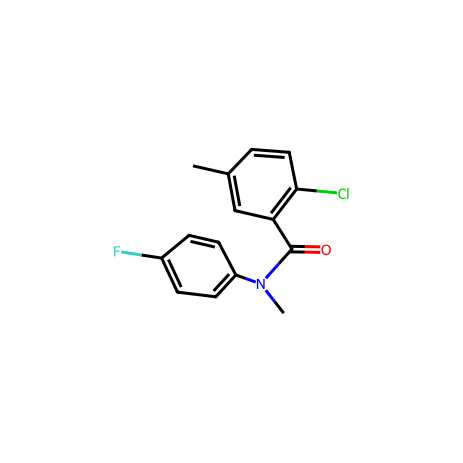 Cc1ccc(Cl)c(C(=O)N(C)c2ccc(F)cc2)c1